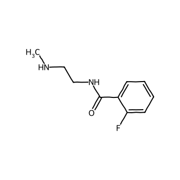 CNCCNC(=O)c1ccccc1F